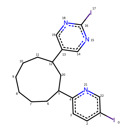 Ic1ccc(C2CCCCCCC(c3cnc(I)nc3)C2)nc1